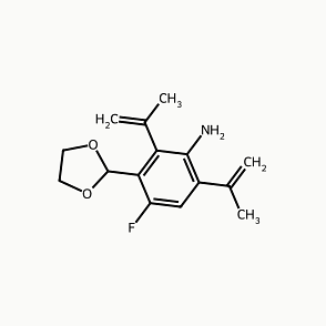 C=C(C)c1cc(F)c(C2OCCO2)c(C(=C)C)c1N